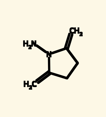 C=C1CCC(=C)N1N